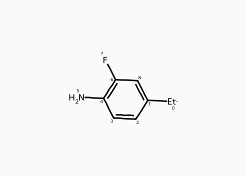 C[CH]c1ccc(N)c(F)c1